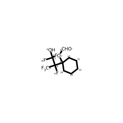 O=[C]OC1(C(F)(C(O)(F)F)C(F)(F)F)CCCCC1